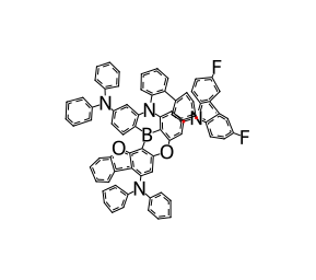 Fc1ccc2c(c1)c1cc(F)ccc1n2-c1cc2c3c(c1)N(c1ccccc1-c1ccccc1)c1cc(N(c4ccccc4)c4ccccc4)ccc1B3c1c(cc(N(c3ccccc3)c3ccccc3)c3c1oc1ccccc13)O2